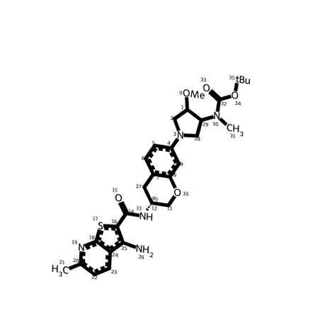 COC1CN(c2ccc3c(c2)OC[C@H](NC(=O)c2sc4nc(C)ccc4c2N)C3)CC1N(C)C(=O)OC(C)(C)C